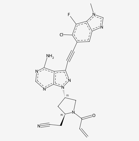 C=CC(=O)N1C[C@@H](n2nc(C#Cc3cc4ncn(C)c4c(F)c3Cl)c3c(N)ncnc32)C[C@@H]1CC#N